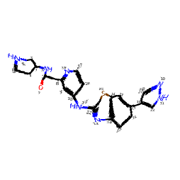 O=C(NC1CCNC1)c1cc(Nc2nc3ccc(-c4cn[nH]c4)cc3s2)ccn1